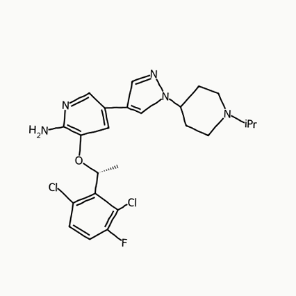 CC(C)N1CCC(n2cc(-c3cnc(N)c(O[C@H](C)c4c(Cl)ccc(F)c4Cl)c3)cn2)CC1